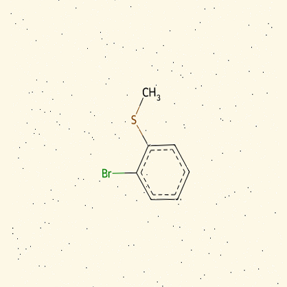 CSc1cc[c]cc1Br